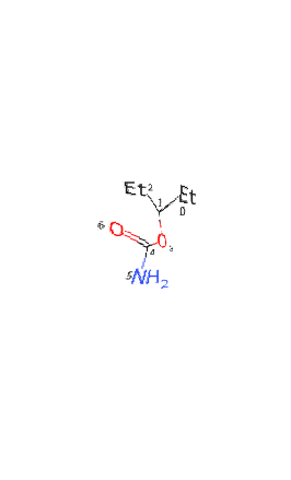 [CH2]CC(CC)OC(N)=O